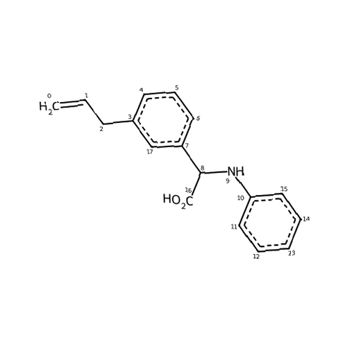 C=CCc1cccc(C(Nc2ccccc2)C(=O)O)c1